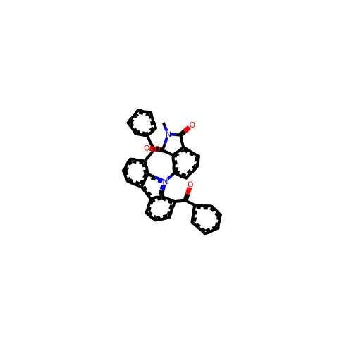 CN1C(=O)c2cccc(-n3c4c(C(=O)c5ccccc5)cccc4c4cccc(C(=O)c5ccccc5)c43)c2C1=O